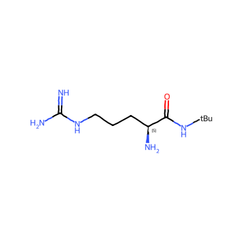 CC(C)(C)NC(=O)[C@@H](N)CCCNC(=N)N